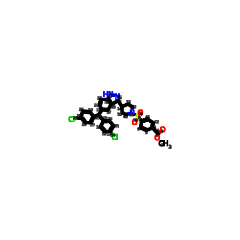 COC(=O)c1ccc(S(=O)(=O)N2CCC(c3n[nH]c4ccc(C(c5ccc(Cl)cc5)c5ccc(Cl)cc5)cc34)CC2)cc1